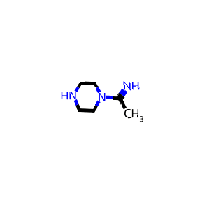 CC(=N)N1CCNCC1